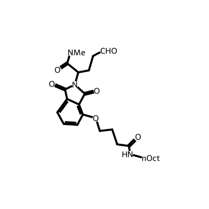 CCCCCCCCNC(=O)CCCOc1cccc2c1C(=O)N(C(CCC=O)C(=O)NC)C2=O